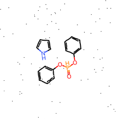 O=[PH](Oc1ccccc1)Oc1ccccc1.c1cc[nH]c1